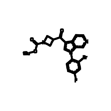 CC(C)(C)OC(=O)N1CC(C(=O)c2cn(-c3ccc(F)cc3Br)c3cnccc23)C1